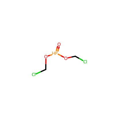 O=[PH](OCCl)OCCl